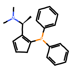 C[C@@H](C1=C(P(c2ccccc2)c2ccccc2)CC=C1)N(C)C